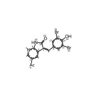 CC(=O)c1cnc2c(c1)C(=Cc1cc(Br)c(O)c(Br)c1)C(=O)N2